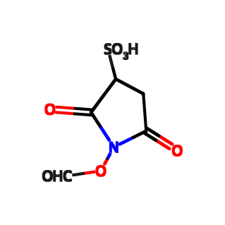 O=CON1C(=O)CC(S(=O)(=O)O)C1=O